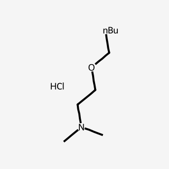 CCCCCOCCN(C)C.Cl